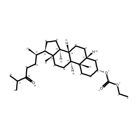 CCOC(=O)O[C@@H]1CC[C@@]2(C)[C@H](CC[C@@H]3[C@@H]2CC[C@]2(C)[C@@H]([C@H](C)CCC(=O)C(C)C)CC[C@@H]32)C1